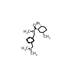 CC(C)[C@@H]1CC[C@@H](C)C[C@H]1C(=O)N(C)Cc1cccc(CN(C)C)c1